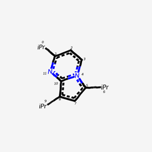 CC(C)c1ccn2c(C(C)C)cc(C(C)C)c2n1